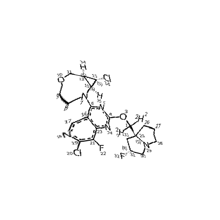 [2H]C([2H])(Oc1nc(N2CCOC[C@H]3[C@H](Cl)[C@H]32)c2cnc(Cl)c(F)c2n1)[C@@]12CCCN1C[C@H](F)C2